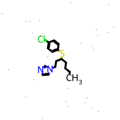 CCCCC(CCn1ccnc1)Sc1ccc(Cl)cc1